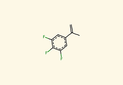 C=C(C)c1cc(F)c(F)c(F)c1